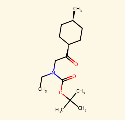 CCN(CC(=O)[C@H]1CC[C@@H](C)CC1)C(=O)OC(C)(C)C